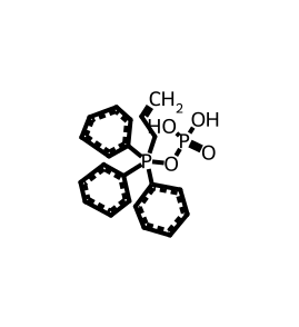 C=CCP(OP(=O)(O)O)(c1ccccc1)(c1ccccc1)c1ccccc1